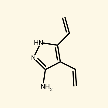 C=Cc1[nH]nc(N)c1C=C